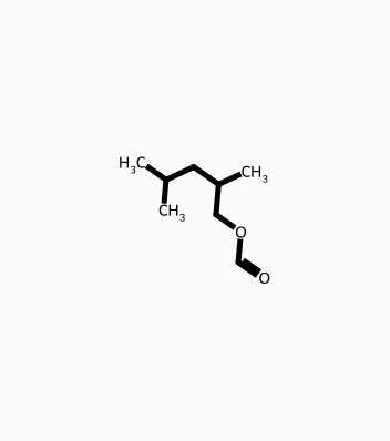 CC(C)CC(C)COC=O